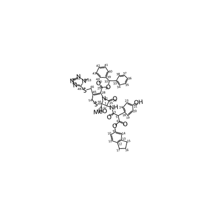 CO[C@@]1(NC(=O)C(C(=O)Oc2ccc3c(c2)CCC3)c2ccc(O)cc2)C(=O)N2C(C(=O)OC(c3ccccc3)c3ccccc3)=C(CSc3nnnn3C)CS[C@H]21